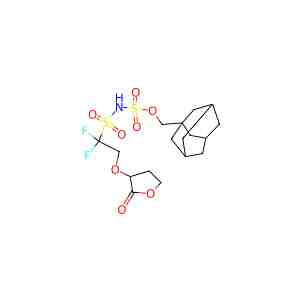 O=C1OCCC1OCC(F)(F)S(=O)(=O)NS(=O)(=O)OCC12CC3CC(CC(C3)C1)C2